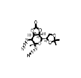 CC1(C)OC[C@H](C2O[C@](C)(N=[N+]=[N-])C(N=[N+]=[N-])[C@H]3OC(=O)O[C@@H]23)O1